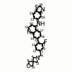 Fc1cc(CN2CC3(COC3)C2)ccc1-c1ccc2c(Nc3ccc4scnc4c3)ccnc2c1